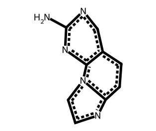 Nc1ncc2ccc3nccn3c2n1